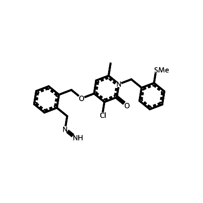 CSc1ccccc1Cn1c(C)cc(OCc2ccccc2CN=N)c(Cl)c1=O